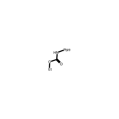 CCOC(=O)[NH][PbH]